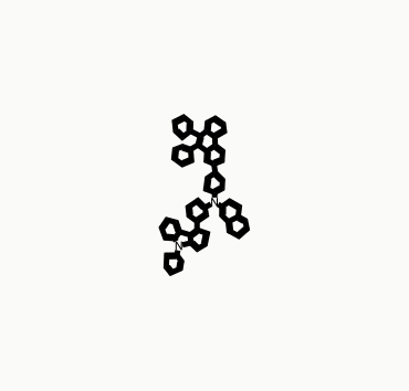 c1ccc(-c2c(-c3ccccc3)c3cc(-c4ccc(N(c5cccc(-c6cccc7c6c6ccccc6n7-c6ccccc6)c5)c5ccc6ccccc6c5)cc4)ccc3c3ccccc23)cc1